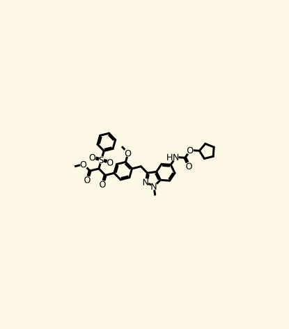 COC(=O)C(C(=O)c1ccc(Cc2nn(C)c3ccc(NC(=O)OC4CCCC4)cc23)c(OC)c1)S(=O)(=O)c1ccccc1